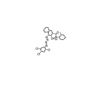 Cc1ccccc1NC(=O)c1cc2ccccc2c(N=NN=Nc2cc(Cl)c(Cl)cc2Cl)c1O